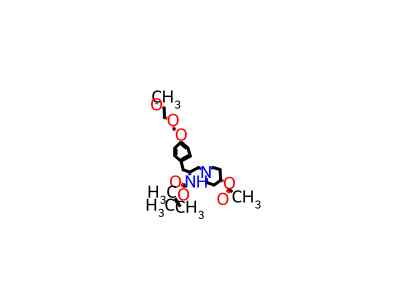 COCCOCOc1ccc(CC(CN2CCC(OC(C)=O)CC2)NC(=O)OC(C)(C)C)cc1